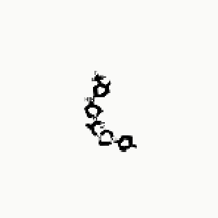 Cc1ccc(N2CCN(CC(C)C(=S)N3CCC(Nc4ccc(C)c(C(F)(F)F)c4)CC3)CC2)cc1